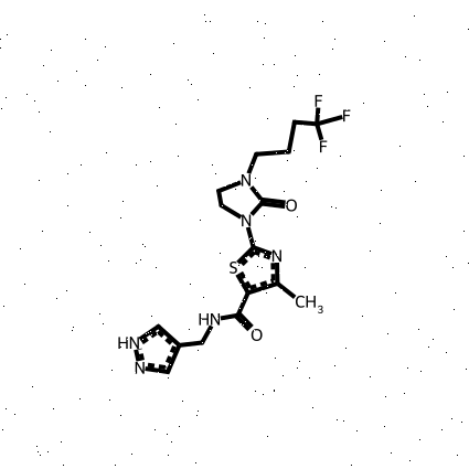 Cc1nc(N2CCN(CCCC(F)(F)F)C2=O)sc1C(=O)NCc1cn[nH]c1